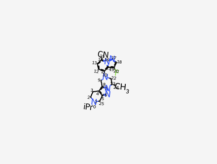 CC(C)N1CCc2c(nn3c2CN(c2ccc(C#N)n4ncc(F)c24)C[C@H]3C)C1